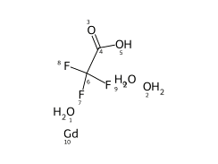 O.O.O.O=C(O)C(F)(F)F.[Gd]